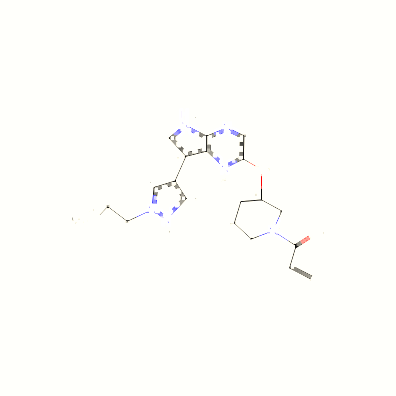 C=CC(=O)N1CCCC(Oc2cnc3[nH]cc(-c4cnn(CCOC)c4)c3n2)C1